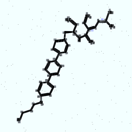 C=C/C(=C\C=C(/C)C(C)(C)C)C(=C)N[C@H](C=C)Cc1ccc(-c2ncc(-c3ccc(OCCCC(C)C)cc3)cn2)cc1